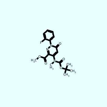 COC(=O)c1nn(-c2ccccc2F)c(=O)cc1N(C)C(=O)OC(C)(C)C